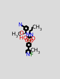 CCCCc1nc(=O)c(S(=O)(=O)c2ccc(-c3ccnc(F)c3C)cc2)c(O)n1[C@@H](COC)c1cccc(C#N)c1